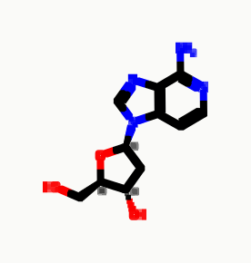 Nc1nccc2c1ncn2[C@H]1C[C@H](O)[C@@H](CO)O1